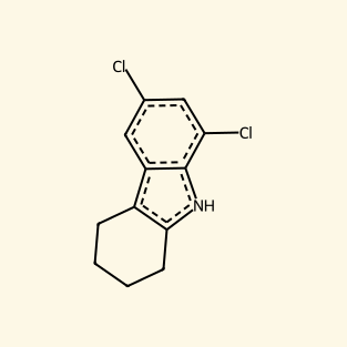 Clc1cc(Cl)c2[nH]c3c(c2c1)CCCC3